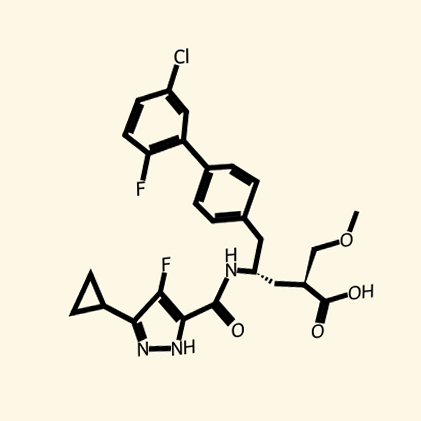 COC[C@H](C[C@@H](Cc1ccc(-c2cc(Cl)ccc2F)cc1)NC(=O)c1[nH]nc(C2CC2)c1F)C(=O)O